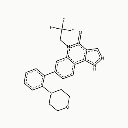 O=c1c2cn[nH]c2c2ccc(-c3ccccc3N3CCOCC3)cc2n1CC(F)(F)F